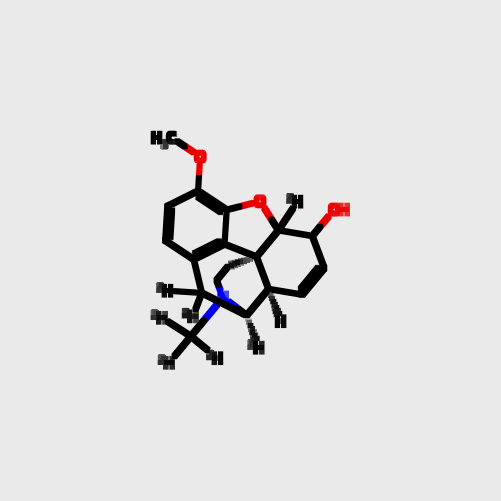 [2H]C([2H])([2H])N1CC[C@]23c4c5ccc(OC)c4OC2([2H])C(O)C=C[C@H]3[C@@]1([2H])C5([2H])[2H]